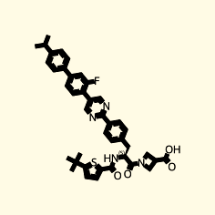 CC(C)c1ccc(-c2ccc(-c3cnc(-c4ccc(C[C@H](NC(=O)c5ccc(C(C)(C)C)s5)C(=O)N5CC(C(=O)O)C5)cc4)nc3)c(F)c2)cc1